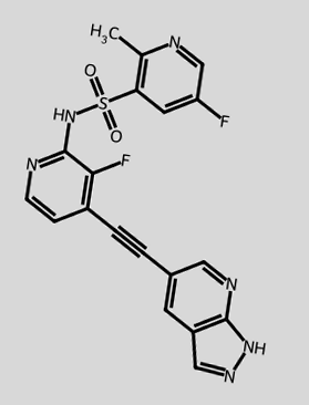 Cc1ncc(F)cc1S(=O)(=O)Nc1nccc(C#Cc2cnc3[nH]ncc3c2)c1F